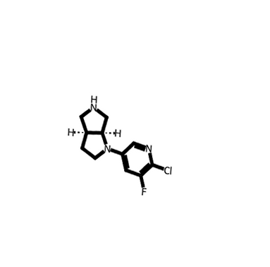 Fc1cc(N2CC[C@H]3CNC[C@H]32)cnc1Cl